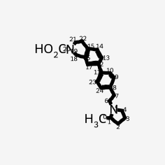 CC1CCCN1CCc1ccc(-c2ccc3c(c2)CN(C(=O)O)CC3)cc1